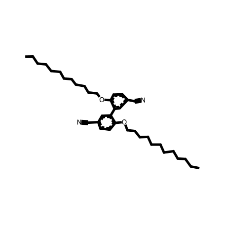 CCCCCCCCCCCCOc1ccc(C#N)cc1-c1cc(C#N)ccc1OCCCCCCCCCCCC